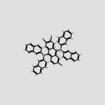 Cc1ccc2c(N(c3ccc4ccccc4c3)c3ccc4ccccc4c3)c3cc(C)c(C)cc3c(N(c3ccc4ccccc4c3)c3ccc4ccccc4c3)c2c1